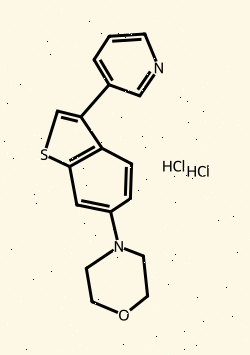 Cl.Cl.c1cncc(-c2csc3cc(N4CCOCC4)ccc23)c1